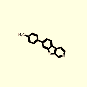 Cc1ccc(-c2ccc3c(c2)oc2cnccc23)cc1